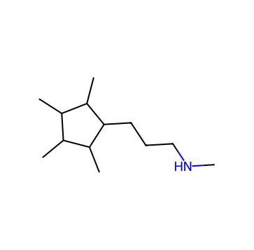 CNCCCC1C(C)C(C)C(C)C1C